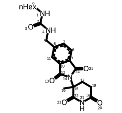 CCCCCCNC(=O)NCc1ccc2c(c1)C(=O)N(C1(C)CCC(=O)NC1=O)C2=O